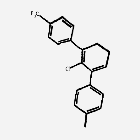 Cc1ccc(C2=CC[CH]C(c3ccc(C(F)(F)F)cc3)=C2Cl)cc1